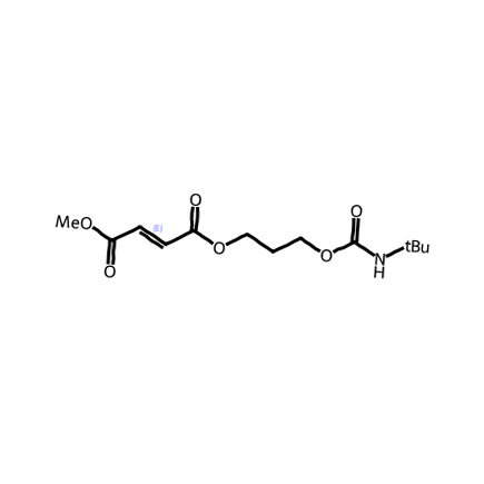 COC(=O)/C=C/C(=O)OCCCOC(=O)NC(C)(C)C